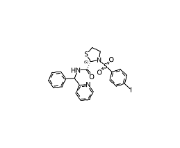 O=C(NC(c1ccccc1)c1ccccn1)[C@@H]1SCCN1S(=O)(=O)c1ccc(I)cc1